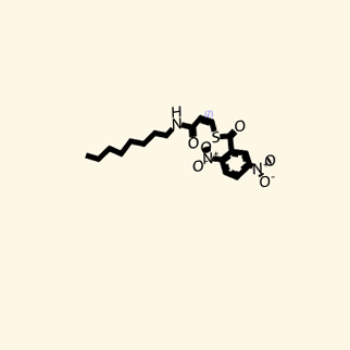 CCCCCCCCNC(=O)/C=C\SC(=O)c1cc([N+](=O)[O-])ccc1[N+](=O)[O-]